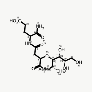 CNC(=O)C(CC(=O)NC(CCC(=O)O)C(N)=O)O[C@@H]([C@H](O)[C@H](O)CO)[C@H](C=O)NC(C)=O